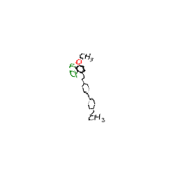 CCC[C@H]1CC[C@H]([C@H]2CC[C@H](CCc3ccc(OCC)c(F)c3Cl)CC2)CC1